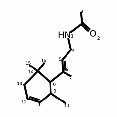 CC(=O)NC/C=C(\C)C1C(C)C=CCC1(C)C